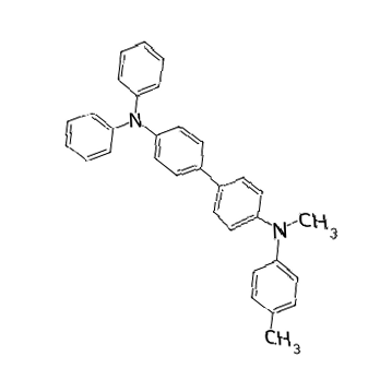 Cc1ccc(N(C)c2ccc(-c3ccc(N(c4ccccc4)c4ccccc4)cc3)cc2)cc1